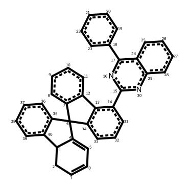 C1=CCC2C(=C1)C1(c3ccccc3-c3c(-c4nc(-c5ccccc5)c5ccccc5n4)cccc31)c1ccccc12